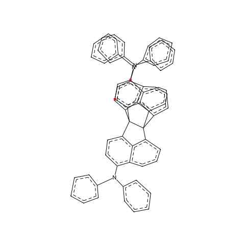 c1ccc(N(c2ccccc2)c2ccc3c4c(cccc24)C24c5cccc6c(N(c7ccccc7)c7ccccc7)ccc(c56)C32c2ccc(N(c3ccccc3)c3ccccc3)c3cccc4c23)cc1